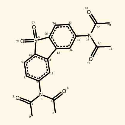 CC(=O)N(C(C)=O)c1ccc2c(c1)-c1cc(N(C(C)=O)C(C)=O)ccc1S2(=O)=O